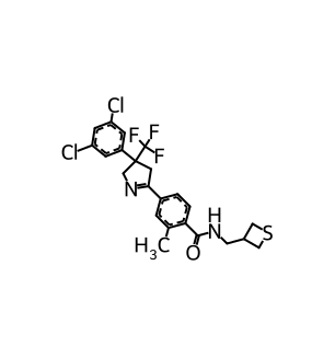 Cc1cc(C2=NCC(c3cc(Cl)cc(Cl)c3)(C(F)(F)F)C2)ccc1C(=O)NCC1CSC1